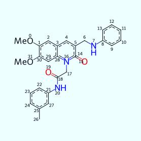 COc1cc2cc(CNc3ccccc3)c(=O)n(CC(=O)Nc3cccc(C)c3)c2cc1OC